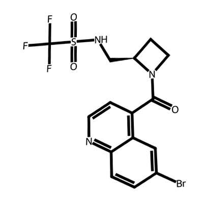 O=C(c1ccnc2ccc(Br)cc12)N1CC[C@@H]1CNS(=O)(=O)C(F)(F)F